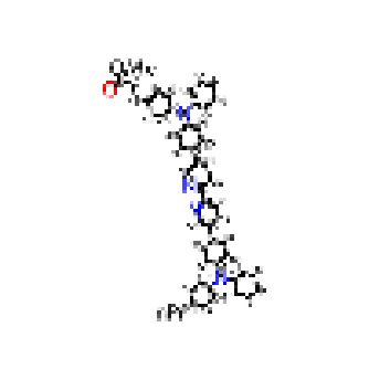 CCCc1ccc(N(c2ccccc2)c2ccc(-c3ccc(-c4ccc(-c5ccc(N(c6ccccc6)c6ccc(CCC(=O)OC)cc6)cc5)cn4)nc3)cc2)cc1